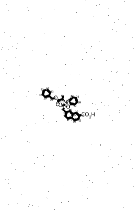 CC(NP(=O)(Cc1ccc2ccc(C(=O)O)cc2c1)Oc1ccccc1)C(=O)OCc1ccccc1